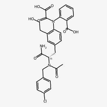 CC(=O)N(Cc1ccc(Cl)cc1)[C@@H](Cc1ccc(N(C(=O)C(=O)O)c2ccccc2C(=O)O)c(CCO)c1)C(N)=O